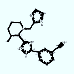 CC1CCCN(Cc2nccs2)C1c1nc(-c2cccc(C#N)c2)no1